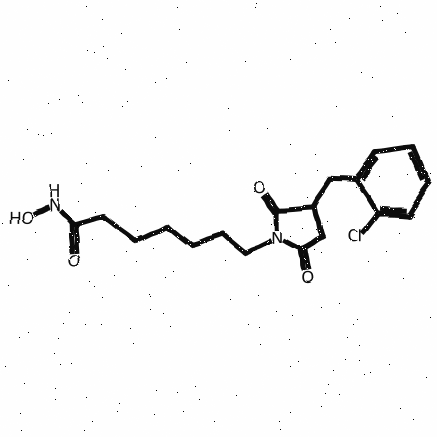 O=C(CCCCCCN1C(=O)CC(Cc2ccccc2Cl)C1=O)NO